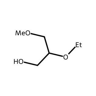 CCOC(CO)COC